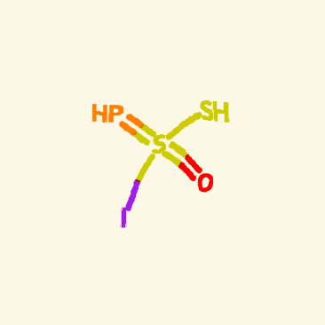 O=S(=P)(S)I